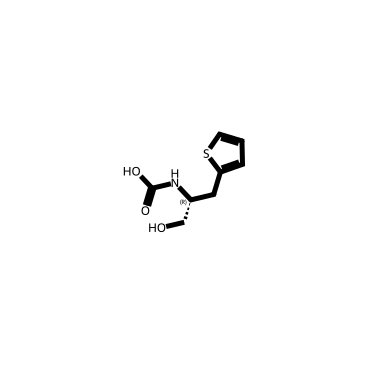 O=C(O)N[C@@H](CO)Cc1cccs1